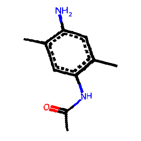 CC(=O)Nc1cc(C)c(N)cc1C